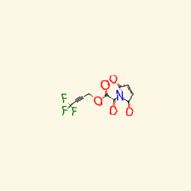 O=C(OCC#CC(F)(F)F)C(=O)N1C(=O)C=CC1=O